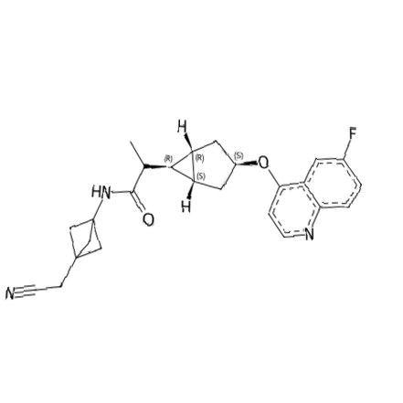 CC(C(=O)NC12CC(CC#N)(C1)C2)[C@H]1[C@@H]2C[C@@H](Oc3ccnc4ccc(F)cc34)C[C@@H]21